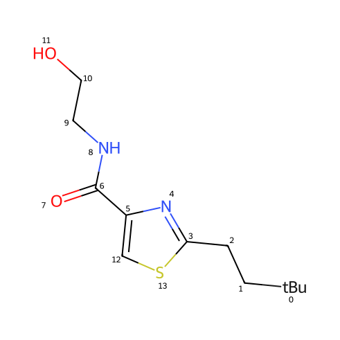 CC(C)(C)CCc1nc(C(=O)NCCO)cs1